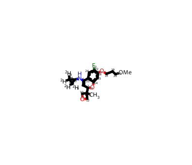 [2H]C1([2H])C(NC2=CC(C3(C)COC3)Oc3cc(OCCCOC)c(F)cc32)C1([2H])[2H]